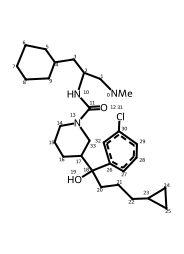 CNCC(CC1CCCCC1)NC(=O)N1CCCC(C(O)(CCCC2CC2)c2cccc(Cl)c2)C1